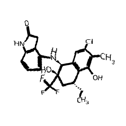 CC[C@@H]1C[C@](O)(C(F)(F)F)[C@@H](Nc2cccc3c2CC(=O)N3)c2cc(Cl)c(C)c(O)c21